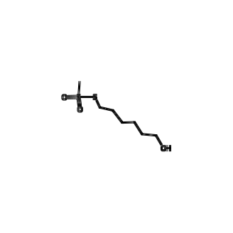 CS(=O)(=O)SCCCCCCO